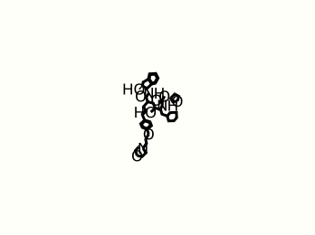 O=C(NC(CC1CCCCC1)C(O)CC(C/C=C/c1ccc(OCCN2CCOCC2)cc1)C(=O)N[C@H]1c2ccccc2C[C@@H]1O)OC1CCOC1